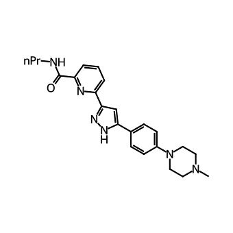 CCCNC(=O)c1cccc(-c2cc(-c3ccc(N4CCN(C)CC4)cc3)[nH]n2)n1